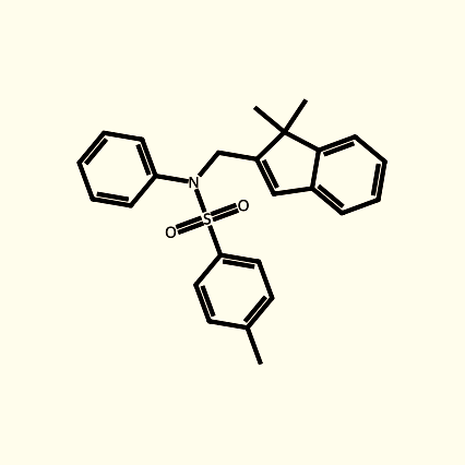 Cc1ccc(S(=O)(=O)N(CC2=Cc3ccccc3C2(C)C)c2ccccc2)cc1